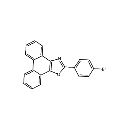 Brc1ccc(-c2nc3c4ccccc4c4ccccc4c3o2)cc1